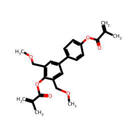 C=C(C)C(=O)Oc1ccc(-c2cc(COC)c(OC(=O)C(=C)C)c(COC)c2)cc1